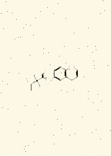 CCC(C)(C)C(=O)Oc1ccc2c(c1)CC=CO2